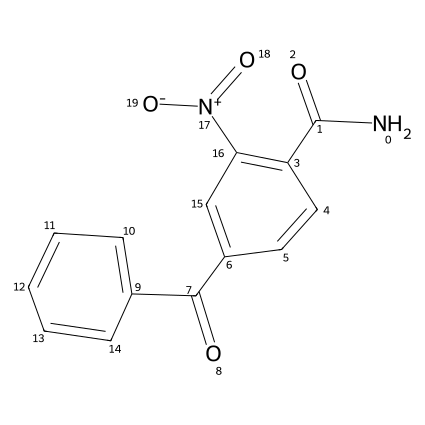 NC(=O)c1ccc(C(=O)c2ccccc2)cc1[N+](=O)[O-]